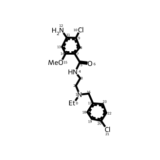 CCN(CCNC(=O)c1cc(Cl)c(N)cc1OC)Cc1ccc(Cl)cc1